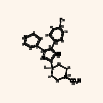 CC1(c2nc(-c3ccncc3)c(-c3ccc(F)cc3)[nH]2)CCN(C(=O)O)CC1